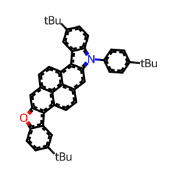 CC(C)(C)c1ccc(-n2c3ccc(C(C)(C)C)cc3c3c4ccc5cc6oc7ccc(C(C)(C)C)cc7c6c6ccc(cc32)c4c56)cc1